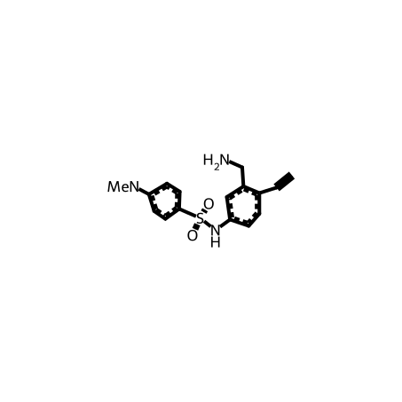 C#Cc1ccc(NS(=O)(=O)c2ccc(NC)cc2)cc1CN